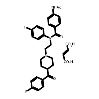 CC(=O)Nc1ccc(C(=O)N(CCN2CCC(C(=O)c3ccc(F)cc3)CC2)c2ccc(F)cc2)cc1.O=C(O)/C=C/C(=O)O